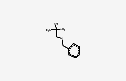 CC(C)(O)COCc1ccc[c]n1